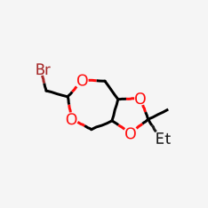 CCC1(C)OC2COC(CBr)OCC2O1